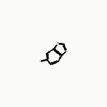 Fc1[c]c2scnc2cc1